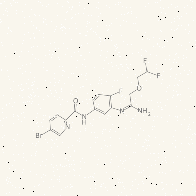 N/C(COCC(F)F)=N/c1cc(NC(=O)c2ccc(Br)cn2)ccc1F